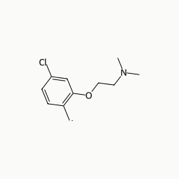 [CH2]c1ccc(Cl)cc1OCCN(C)C